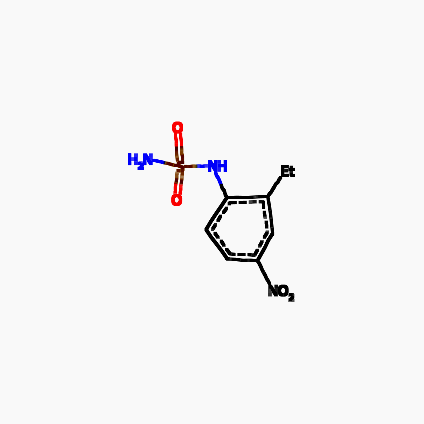 CCc1cc([N+](=O)[O-])ccc1NS(N)(=O)=O